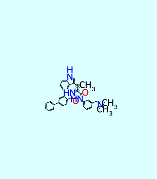 C[C@@H](c1c[nH]c2ccccc12)[C@@H](NC(=O)c1ccc(-c2ccccc2)cc1)C(=O)Nc1cccc(CN(C)C)c1